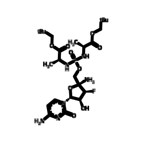 C[C@H](NP(=O)(N[C@@H](C)C(=O)OCC(C)(C)C)OC[C@@]1(N)O[C@@H](n2ccc(N)nc2=O)[C@H](O)[C@@H]1F)C(=O)OCC(C)(C)C